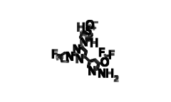 Nc1ncc(-c2cc(N3C[C@@H]4C[C@H]3C[S+]4[O-])nc(N3CC[C@@H](F)C3)n2)cc1OC(F)F